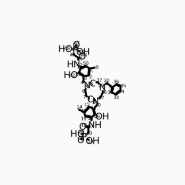 Cc1cc(CN2CCCN(Cc3cc(C)cc(NC(=O)CP(=O)(O)O)c3O)CCN(Cc3ccccc3)CC2)c(O)c(NC(=O)CP(=O)(O)O)c1